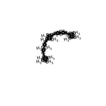 C[SiH]1O[SiH](C)O[Si](C)(CCCOc2ccc(C(C)(C)c3ccc(OCCC[Si]4(C)O[SiH](C)O[Si](C)(CCCOc5ccc(C(C)(C)c6ccc(OCCC[Si]7(C)O[SiH](C)O[SiH](C)O[SiH](C)O7)cc6)cc5)O[SiH](C)O4)cc3)cc2)O[SiH](C)O1